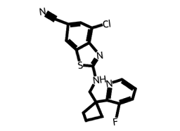 N#Cc1cc(Cl)c2nc(NCC3(c4ncccc4F)CCC3)sc2c1